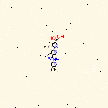 OC[C@H](O)c1cnc(-c2cc3cnnc(Nc4ccc(C(F)(F)F)cn4)c3cn2)c(C(F)(F)F)c1